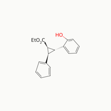 CCOC(=O)[C@@H]1[C@H](c2ccccc2)[C@H]1c1ccccc1O